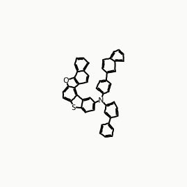 c1ccc(-c2cccc(N(c3ccc(-c4ccc5ccccc5c4)cc3)c3ccc4sc5ccc6oc7c8ccccc8ccc7c6c5c4c3)c2)cc1